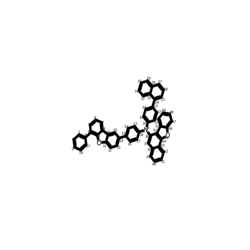 c1ccc(-c2cccc3c2oc2ccc(-c4ccc(N(c5ccc(-c6cccc7ccccc67)cc5)c5cc6ccccc6c6oc7ccccc7c56)cc4)cc23)cc1